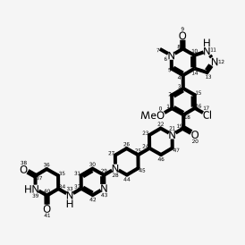 COc1cc(-c2cn(C)c(=O)c3[nH]ncc23)cc(Cl)c1C(=O)N1CCC(C2CCN(c3ccc(NC4CCC(=O)NC4=O)cn3)CC2)CC1